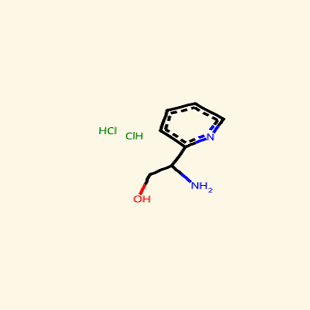 Cl.Cl.NC(CO)c1ccccn1